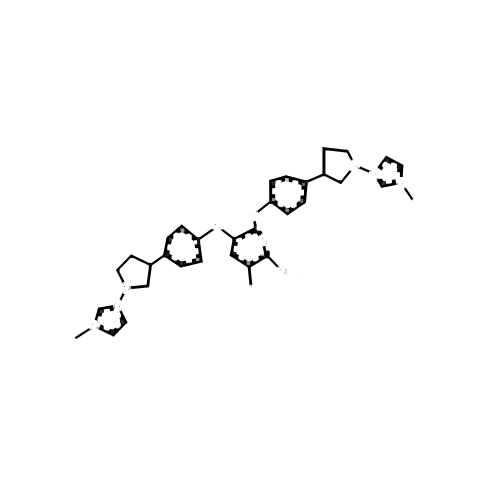 C[n+]1ccn(N2CCC(c3ccc(Nc4cc(O)c(N)nc4Nc4ccc(C5CCN(n6cc[n+](C)c6)C5)cc4)cc3)C2)c1